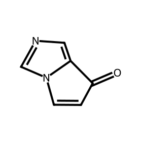 O=C1C=Cn2cncc21